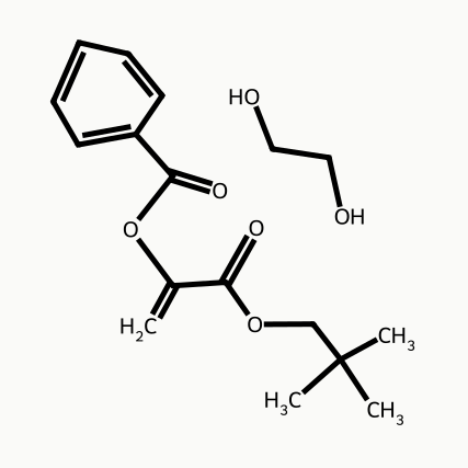 C=C(OC(=O)c1ccccc1)C(=O)OCC(C)(C)C.OCCO